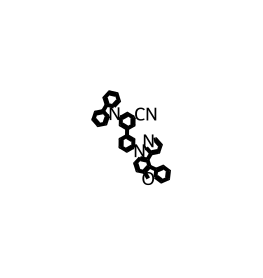 N#Cc1cc(-c2cccc(-n3c4ccc5oc6ccccc6c5c4c4cccnc43)c2)cc(-n2c3ccccc3c3ccccc32)c1